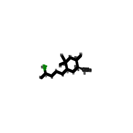 CO[C@@H]1CC(CCCC(C)Br)C(C)(C)CC1C